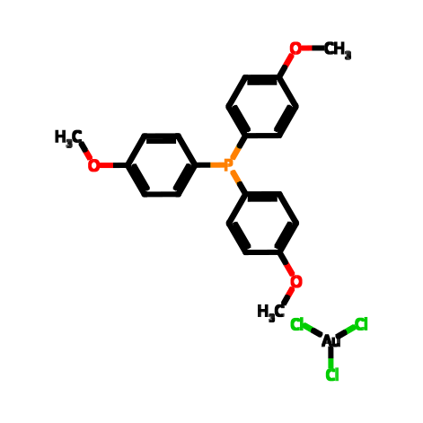 COc1ccc(P(c2ccc(OC)cc2)c2ccc(OC)cc2)cc1.[Cl][Au]([Cl])[Cl]